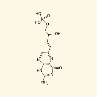 Nc1nc(=O)c2nc(/C=C/C(O)COP(=O)(O)O)cnc2[nH]1